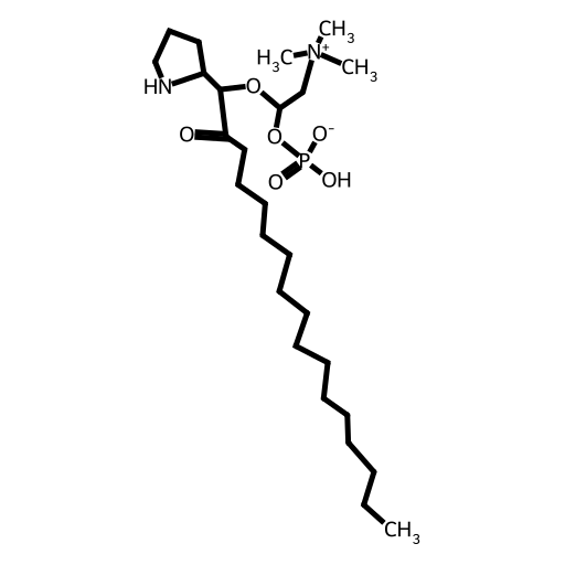 CCCCCCCCCCCCCCCC(=O)C(OC(C[N+](C)(C)C)OP(=O)([O-])O)C1CCCN1